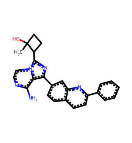 CC1(O)CCC1c1nc(-c2ccc3ccc(-c4ccccc4)nc3c2)c2c(N)nccn12